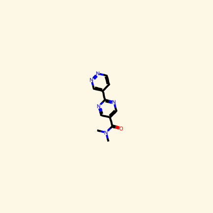 CN(C)C(=O)c1cnc(-c2ccnnc2)nc1